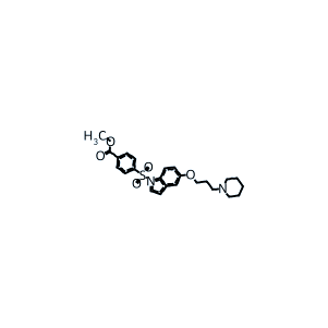 COC(=O)c1ccc(S(=O)(=O)n2ccc3cc(OCCCN4CCCCC4)ccc32)cc1